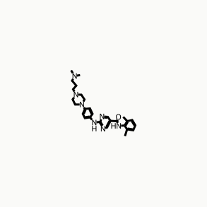 Cc1cccc(C)c1NC(=O)c1cnc(Nc2ccc(N3CCN(CCCN(C)C)CC3)cc2)nc1